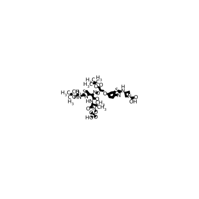 CC(C)(C)OC(=O)Nc1nc(/C(=N/OC(COc2ccc3nc(NC4CN(C(=O)O)C4)sc3c2)C(=O)OC(C)(C)C)C(=O)NC2C(=O)N(OS(=O)(=O)O)C2(C)C)cs1